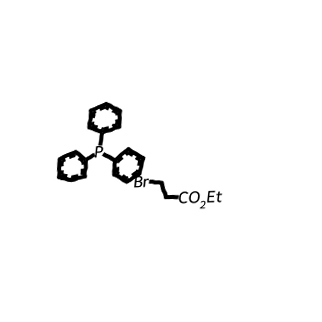 CCOC(=O)CCBr.c1ccc(P(c2ccccc2)c2ccccc2)cc1